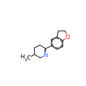 CC1CCC(c2ccc3c(c2)CCO3)=NC1